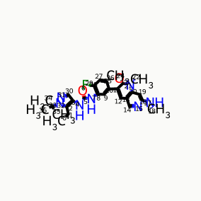 CCc1c(NC(=O)Nc2cc(-c3cc4cnc(NC)cc4n(C)c3=O)c(C)cc2F)cnn1C(C)(C)C